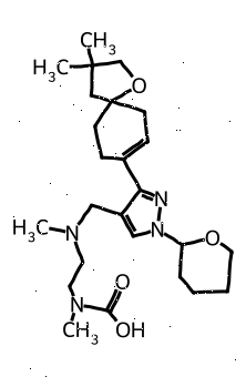 CN(CCN(C)C(=O)O)Cc1cn(C2CCCCO2)nc1C1=CCC2(CC1)CC(C)(C)CO2